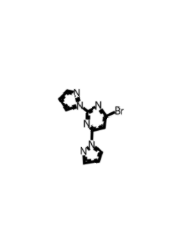 Brc1cc(-n2cccn2)nc(-n2cccn2)n1